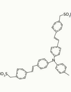 Cc1ccc(N(c2ccc(/C=C/c3ccc(CS(=O)(=O)O)cc3)cc2)c2ccc(/C=C/c3ccc(CS(=O)(=O)O)cc3)cc2)cc1